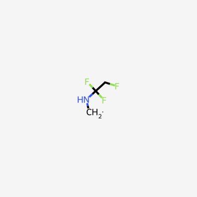 [CH2]NC(F)(F)CF